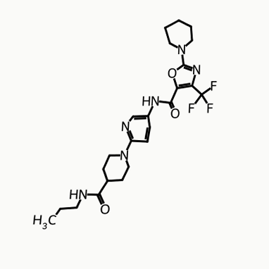 CCCNC(=O)C1CCN(c2ccc(NC(=O)c3oc(N4CCCCC4)nc3C(F)(F)F)cn2)CC1